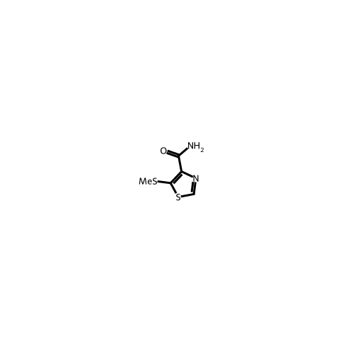 [CH2]Sc1scnc1C(N)=O